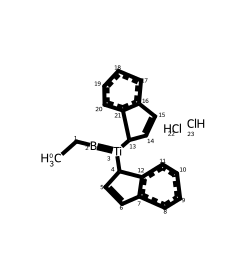 CC[B]=[Ti]([CH]1C=Cc2ccccc21)[CH]1C=Cc2ccccc21.Cl.Cl